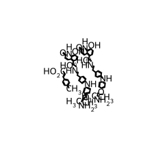 CC(C)(N)COc1ccc(Nc2ccc(CCNC[C@H](O)c3ccc(O)c4[nH]c(=O)ccc34)cc2)cc1.CC(C)(N)COc1ccc(Nc2ccc(CCNC[C@H](O)c3ccc(O)c4[nH]c(=O)ccc34)cc2)cc1.Cc1ccc(C=CC(=O)O)cc1